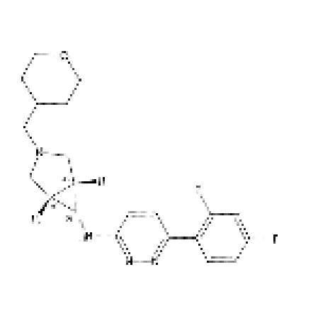 Fc1ccc(-c2ccc(N[C@@H]3[C@@H]4CN(CC5CCOCC5)C[C@@H]43)nn2)c(F)c1